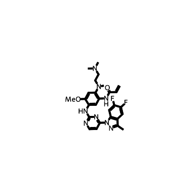 C=CC(=O)Nc1cc(Nc2nccc(-n3nc(C)c4cc(F)c(F)cc43)n2)c(OC)cc1N(C)CCN(C)C